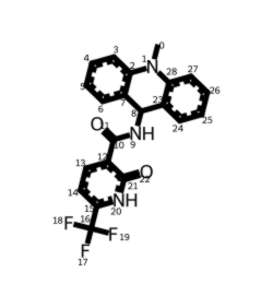 CN1c2ccccc2C(NC(=O)c2ccc(C(F)(F)F)[nH]c2=O)c2ccccc21